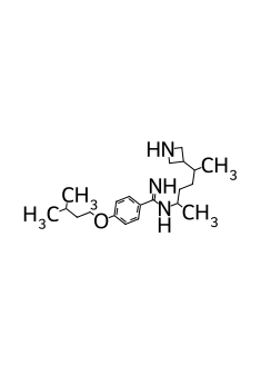 CC(C)CCOc1ccc(C(=N)NC(C)CCC(C)C2CNC2)cc1